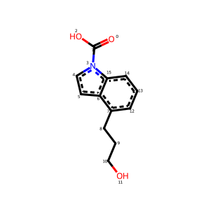 O=C(O)n1ccc2c(CCCO)cccc21